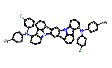 CC(C)c1ccc(N(c2ccc(F)cc2)c2cccc3c2c2cccc4c5cc6c(cc5n3c42)c2cccc3c4c(N(c5ccc(C(C)C)cc5)c5cccc(F)c5)cccc4n6c23)cc1